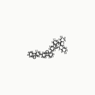 c1ccc(N(c2ccc3ccccc3c2)c2cccc3c2sc2cc(-c4cccc5c4oc4cc(-c6ccc7c(c6)oc6ccccc67)ccc45)ccc23)cc1